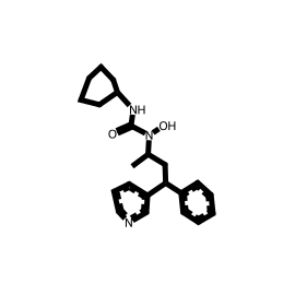 CC(CC(c1ccccc1)c1cccnc1)N(O)C(=O)NC1CCCCC1